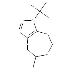 CC1CCCc2c(bbn2C(C)(C)C)C1